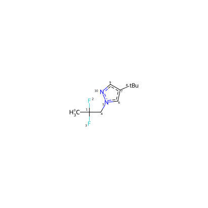 CC(F)(F)Cn1cc(C(C)(C)C)cn1